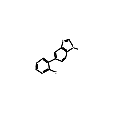 Cn1cnc2cc(-c3cccnc3Cl)ccc21